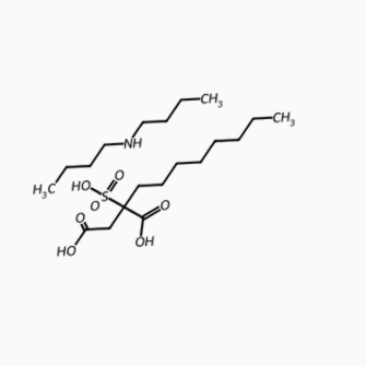 CCCCCCCCC(CC(=O)O)(C(=O)O)S(=O)(=O)O.CCCCNCCCC